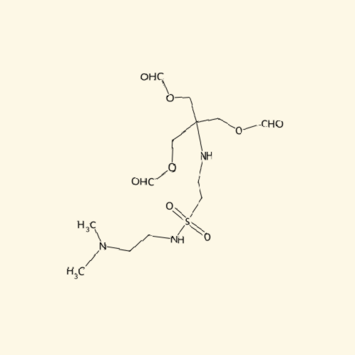 CN(C)CCNS(=O)(=O)CCNC(COC=O)(COC=O)COC=O